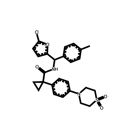 Cc1ccc(C(NC(=O)C2(c3ccc(N4CCS(=O)(=O)CC4)cc3)CC2)c2ccc(Cl)o2)cc1